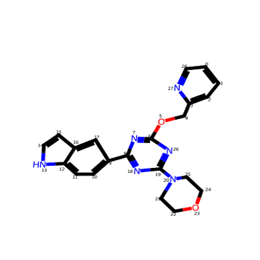 c1ccc(COc2nc(-c3ccc4[nH]ccc4c3)nc(N3CCOCC3)n2)nc1